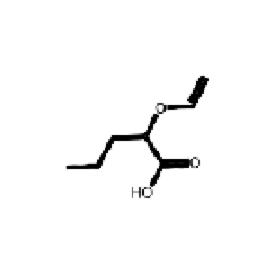 C=COC(CCC)C(=O)O